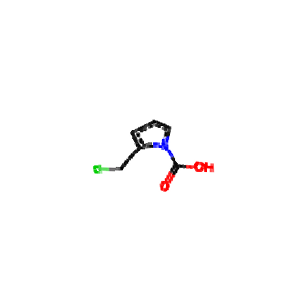 O=C(O)n1cccc1CCl